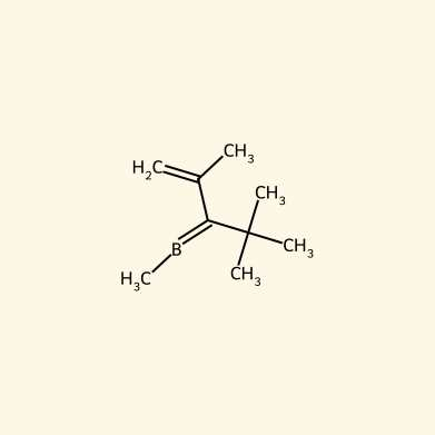 C=C(C)/C(=B\C)C(C)(C)C